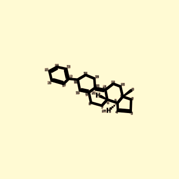 C[C@@]12CC=C[C@H]1[C@@H]1CCC3=CC(c4ccccc4)CCC3=C1CC2